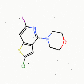 Clc1cc2c(N3CCOCC3)nc(I)cc2s1